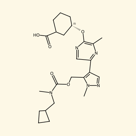 Cc1nc(-c2cnn(C)c2COC(=O)N(C)CC2CCC2)cnc1O[C@H]1CCCC(C(=O)O)C1